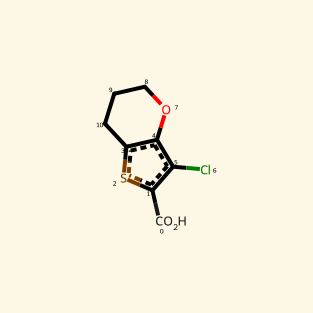 O=C(O)c1sc2c(c1Cl)OCCC2